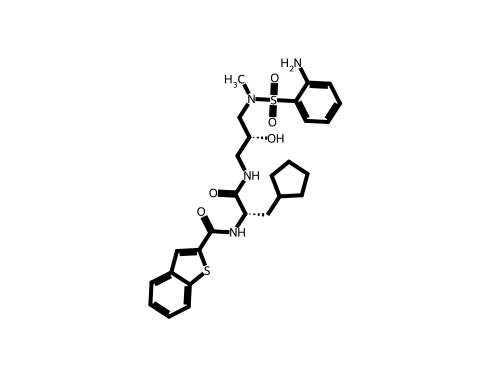 CN(C[C@H](O)CNC(=O)[C@H](CC1CCCC1)NC(=O)c1cc2ccccc2s1)S(=O)(=O)c1ccccc1N